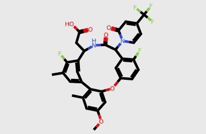 COc1cc(C)c2c(c1)Oc1ccc(F)c(c1)C(n1ccc(C(F)(F)F)cc1=O)C(=O)NC(CC(=O)O)c1cc-2cc(C)c1F